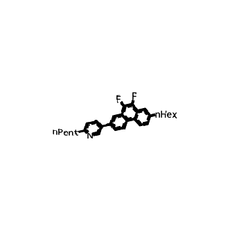 CCCCCCc1ccc2c(c1)c(F)c(F)c1cc(-c3ccc(CCCCC)nc3)ccc12